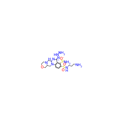 NCCCNS(=O)(=O)c1ccc(N2CCN3CCOCC3C2)c(/C(N)=N/NN)c1[S+](N)[O-]